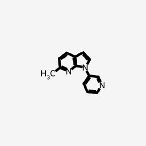 Cc1ccc2ccn(-c3cccnc3)c2n1